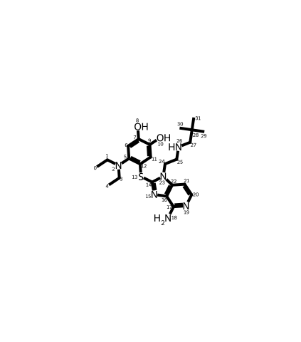 CCN(CC)c1cc(O)c(O)cc1Sc1nc2c(N)nccc2n1CCNCC(C)(C)C